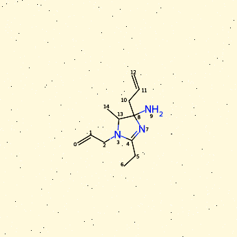 C=CCN1C(CC)=NC(N)(CC=C)C1C